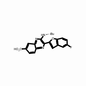 CC[C@@H](C)Nc1nc2cc(C(=O)O)ccc2nc1-c1cc2cc(F)ccc2o1